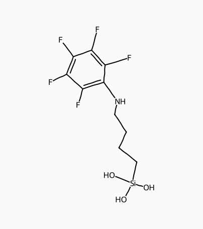 O[Si](O)(O)CCCCNc1c(F)c(F)c(F)c(F)c1F